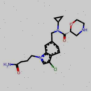 NC(=O)CCCn1cc(Cl)c2ccc(CN(C(=O)[C@H]3CNCCO3)C3CC3)cc21